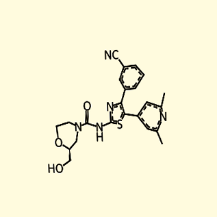 Cc1cc(-c2sc(NC(=O)N3CCO[C@H](CO)C3)nc2-c2cccc(C#N)c2)cc(C)n1